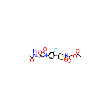 CC(=O)NC[C@H]1CN(c2ccc(C3=CCS(=O)(=NC(=O)COC(C)=O)CC3)c(F)c2)C(=O)O1